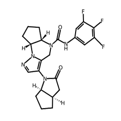 O=C(Nc1cc(F)c(F)c(F)c1)N1Cc2c(N3C(=O)C[C@H]4CCC[C@H]43)cnn2[C@@H]2CCC[C@@H]21